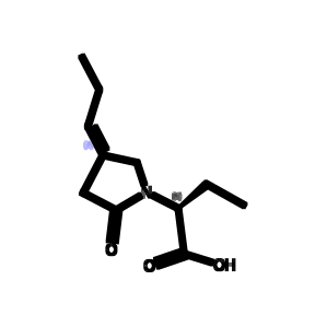 CC/C=C1/CC(=O)N([C@@H](CC)C(=O)O)C1